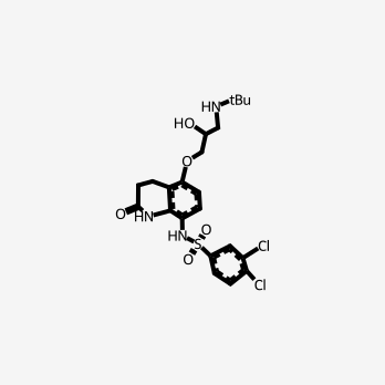 CC(C)(C)NCC(O)COc1ccc(NS(=O)(=O)c2ccc(Cl)c(Cl)c2)c2c1CCC(=O)N2